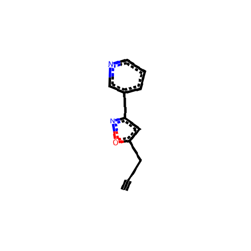 C#CCc1cc(-c2cccnc2)no1